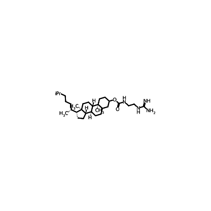 CC(C)CCC[C@@H](C)[C@H]1CC[C@H]2[C@@H]3CCC4CC(OC(=O)NCCNC(=N)N)CC[C@]4(C)[C@H]3CC[C@]12C